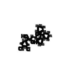 OC(c1ccc(Cl)c(Cl)c1)[C@H](O)CCOC(c1ccccc1)(c1ccccc1)c1ccccc1